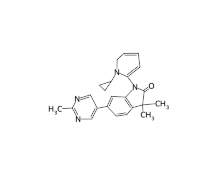 Cc1ncc(-c2ccc3c(c2)N(C2=CC=CCN2C2CC2)C(=O)C3(C)C)cn1